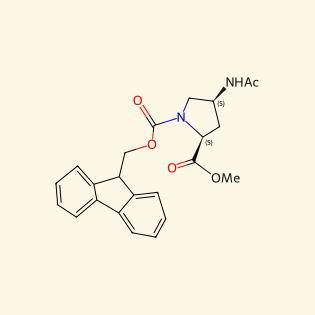 COC(=O)[C@@H]1C[C@H](NC(C)=O)CN1C(=O)OCC1c2ccccc2-c2ccccc21